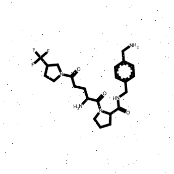 NCc1ccc(CNC(=O)C2CCCN2C(=O)C(N)CCC(=O)N2CCC(C(F)(F)F)C2)cc1